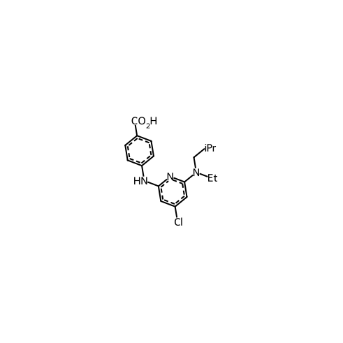 CCN(CC(C)C)c1cc(Cl)cc(Nc2ccc(C(=O)O)cc2)n1